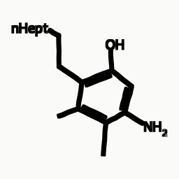 CCCCCCCCCc1c(O)cc(N)c(C)c1C